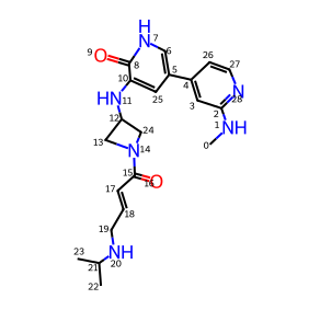 CNc1cc(-c2c[nH]c(=O)c(NC3CN(C(=O)C=CCNC(C)C)C3)c2)ccn1